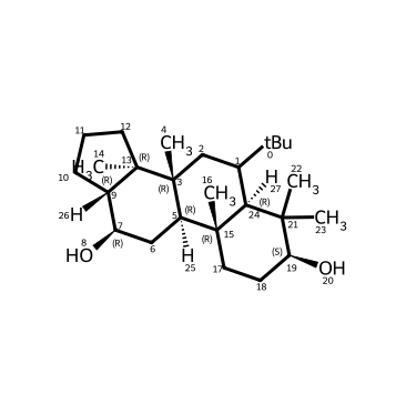 CC(C)(C)C1C[C@]2(C)[C@H](C[C@@H](O)[C@@H]3CCC[C@]32C)[C@@]2(C)CC[C@H](O)C(C)(C)[C@H]12